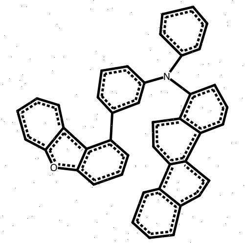 c1ccc(N(c2cccc(-c3cccc4oc5ccccc5c34)c2)c2cccc3c2ccc2c4ccccc4ccc32)cc1